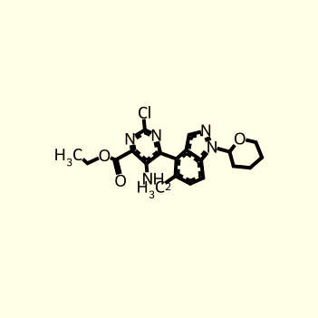 CCOC(=O)c1nc(Cl)nc(-c2c(C)ccc3c2cnn3C2CCCCO2)c1N